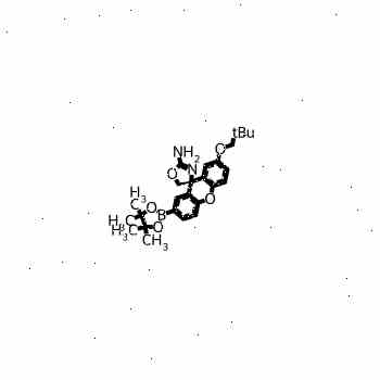 CC(C)(C)COc1ccc2c(c1)[C@]1(COC(N)=N1)c1cc(B3OC(C)(C)C(C)(C)O3)ccc1O2